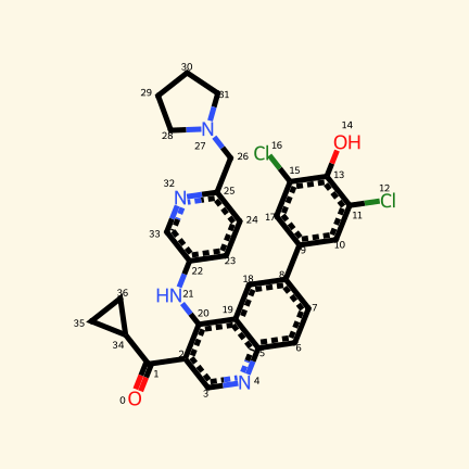 O=C(c1cnc2ccc(-c3cc(Cl)c(O)c(Cl)c3)cc2c1Nc1ccc(CN2CCCC2)nc1)C1CC1